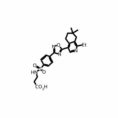 CCc1ncc(-c2nc(-c3ccc(S(=O)(=O)NCCC(=O)O)cc3)no2)c2c1CC(C)(C)CC2